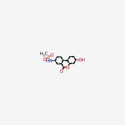 CS(=O)(=O)Nc1ccc2c(c1)c(=O)oc1cc(O)ccc12